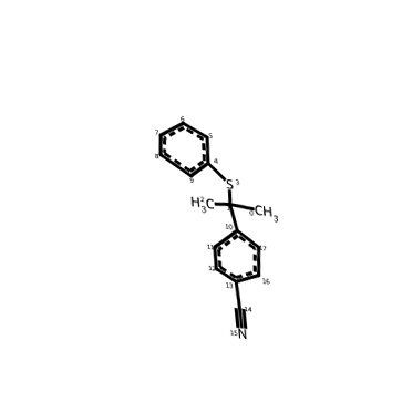 CC(C)(Sc1ccccc1)c1ccc(C#N)cc1